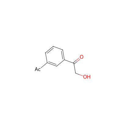 CC(=O)c1cccc(C(=O)CO)c1